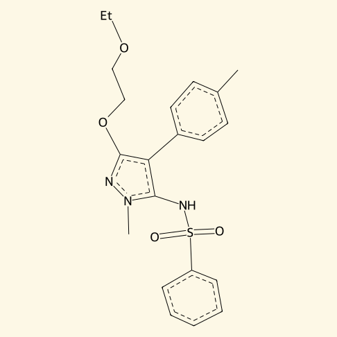 CCOCCOc1nn(C)c(NS(=O)(=O)c2ccccc2)c1-c1ccc(C)cc1